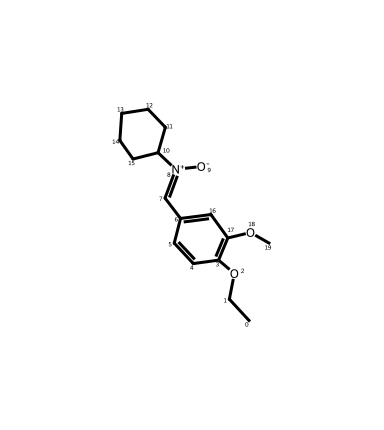 CCOc1ccc(C=[N+]([O-])C2CCCCC2)cc1OC